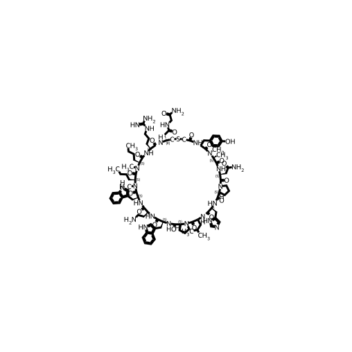 CCCC[C@H]1C(=O)N(C)[C@@H](CCCC)C(=O)N[C@@H](CCCNC(=N)N)C(=O)N[C@H](CC(=O)NCC(N)=O)CSCC(=O)NC(Cc2ccc(O)cc2)C(=O)N(C)[C@@H](C)C(=O)N[C@@H](CC(N)=O)C(=O)N2CCC[C@H]2C(=O)N[C@@H](Cc2cnc[nH]2)C(=O)NC(CC(C)C)C(=O)N2CCC[C@H]2C(=O)N[C@@H](Cc2c[nH]c3ccccc23)C(=O)N[C@@H](CCN)C(=O)N[C@@H](Cc2c[nH]c3ccccc23)C(=O)N1C